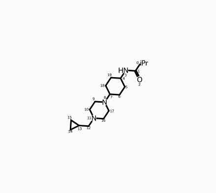 CC(C)C(=O)NC1CCC(N2CCN(CC3CC3)CC2)CC1